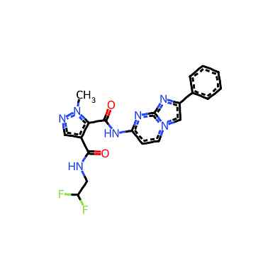 Cn1ncc(C(=O)NCC(F)F)c1C(=O)Nc1ccn2cc(-c3ccccc3)nc2n1